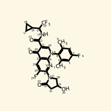 Cc1cc(F)cc(C)c1-n1cc(C(=O)NC(C2CC2)C(F)(F)F)c(=O)c2cc(F)c(N3CC(O)CC3=O)nc21